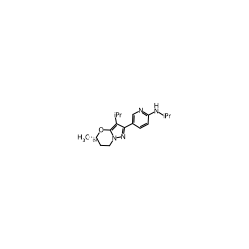 CC(C)Nc1ccc(-c2nn3c(c2C(C)C)O[C@@H](C)CC3)cn1